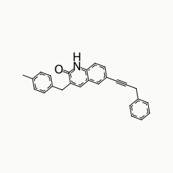 Cc1ccc(Cc2cc3cc(C#CCc4ccccc4)ccc3[nH]c2=O)cc1